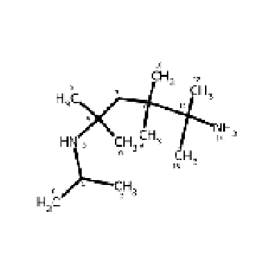 CC(C)NC(C)(C)CC(C)(C)C(C)(C)N